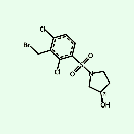 O=S(=O)(c1ccc(Cl)c(CBr)c1Cl)N1CC[C@@H](O)C1